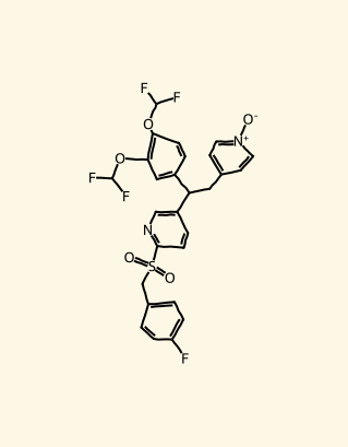 O=S(=O)(Cc1ccc(F)cc1)c1ccc(C(Cc2cc[n+]([O-])cc2)c2ccc(OC(F)F)c(OC(F)F)c2)cn1